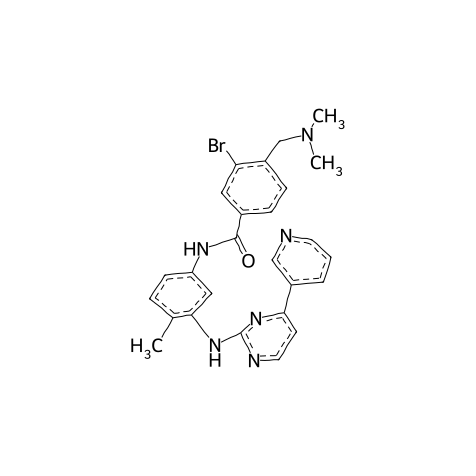 Cc1ccc(NC(=O)c2ccc(CN(C)C)c(Br)c2)cc1Nc1nccc(-c2cccnc2)n1